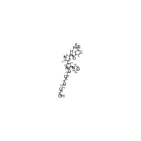 Cc1ncc(NC(=O)c2cccc(C(F)(F)F)c2)cc1-c1cnc(OCCOCCOCCOCCO)c(N2CCOCC2)c1